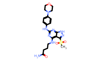 CS(=O)(=O)c1n[nH]c2nc(Nc3ccc(N4CCOCC4)cc3)nc(NCCCC(N)=O)c12